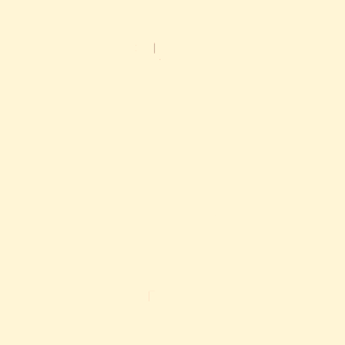 C=CCCc1cccc(F)c1